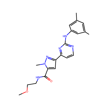 COCCNC(=O)c1cc(-c2ccnc(Nc3cc(C)cc(C)c3)n2)nn1C